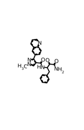 Cn1cc(C(=O)NC(Cc2ccccc2)C(=O)C(N)=O)c(-c2ccc3ncccc3c2)n1